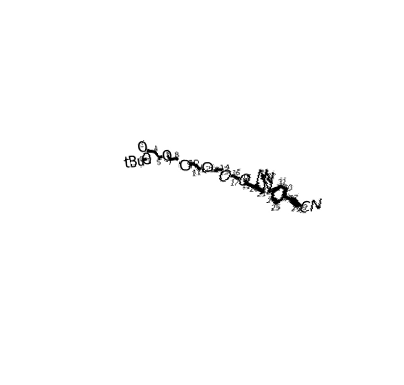 CC(C)(C)OC(=O)CCOCCOCCOCCOCCOCc1cn(-c2ccc(C#CC#N)cc2)nn1